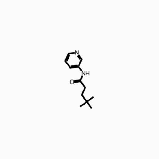 CC(C)(C)CCC(=O)Nc1cccnc1